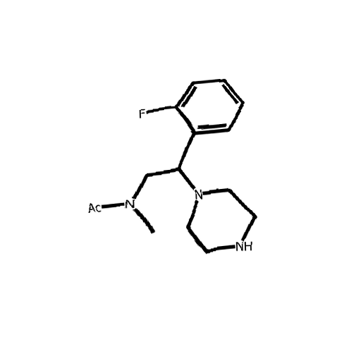 CC(=O)N(C)CC(c1ccccc1F)N1CCNCC1